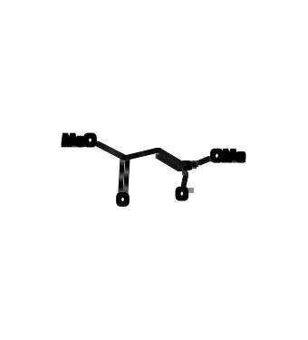 COC(=O)/C=[P+](\[O-])OC